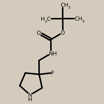 CC(C)(C)OC(=O)NCC1(F)CCNC1